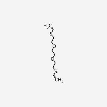 C=CSCCOCCOCCSC=C